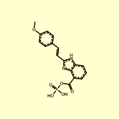 COc1ccc(/C=C/c2nc3c(C(=O)OP(=O)(O)O)cccc3[nH]2)cc1